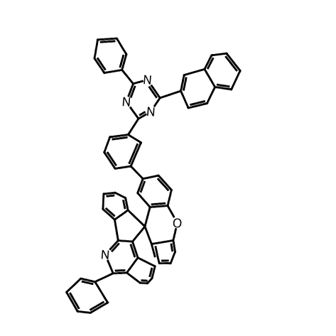 c1ccc(-c2nc(-c3cccc(-c4ccc5c(c4)C4(c6ccccc6O5)c5ccccc5-c5nc(-c6ccccc6)c6ccccc6c54)c3)nc(-c3ccc4ccccc4c3)n2)cc1